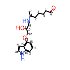 CC(CCCC[C]=O)NCC(O)COc1cccc2[nH]ccc12